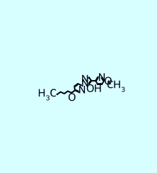 CCCCCC(=O)c1ccc(-n2ncc(-c3ccc(OC)nc3)c2O)nc1